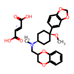 CO[C@]1(c2ccc3c(c2)OCO3)CC[C@H](N(C)CC2COc3ccccc3O2)CC1.O=C(O)/C=C/C(=O)O